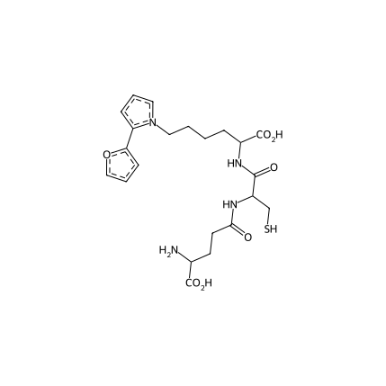 NC(CCC(=O)NC(CS)C(=O)NC(CCCCn1cccc1-c1ccco1)C(=O)O)C(=O)O